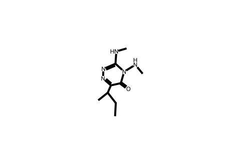 CCC(C)c1nnc(NC)n(NC)c1=O